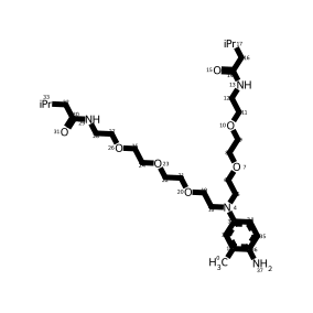 Cc1cc(N(CCOCCOCCNC(=O)CC(C)C)CCOCCOCCOCCNC(=O)CC(C)C)ccc1N